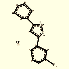 Fc1cccc(-c2cc(-c3ccccc3)[te][o+]2)c1.[Cl-]